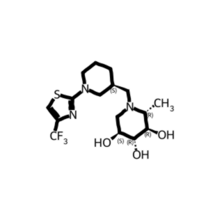 C[C@@H]1[C@@H](O)[C@H](O)[C@@H](O)CN1C[C@@H]1CCCN(c2nc(C(F)(F)F)cs2)C1